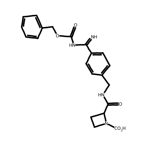 N=C(NC(=O)OCc1ccccc1)c1ccc(CNC(=O)C2CCN2C(=O)O)cc1